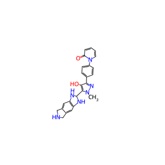 Cn1nc(-c2ccc(-n3ccccc3=O)cc2)c(O)c1C1Nc2cc3c(cc2N1)CNC3